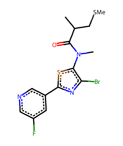 CSCC(C)C(=O)N(C)c1sc(-c2cncc(F)c2)nc1Br